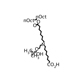 CCCCCCCCC(CCCCCCCC)OC(=O)CCCCCCCN(CCCCCCCC(=O)O)CCOC(O)N(C)C